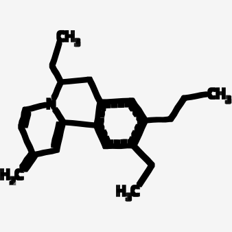 C=C1C=CN2C(=C1)c1cc(CC)c(CCC)cc1CC2CC